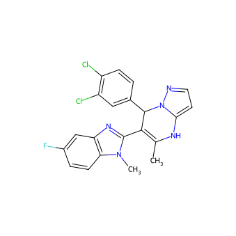 CC1=C(c2nc3cc(F)ccc3n2C)C(c2ccc(Cl)c(Cl)c2)n2nccc2N1